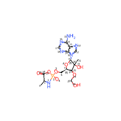 CC1NP(=O)(OC[C@H]2O[C@@H](n3cnc4c(N)ncnc43)C(C)(O)[C@H]2OCO)OC1=O